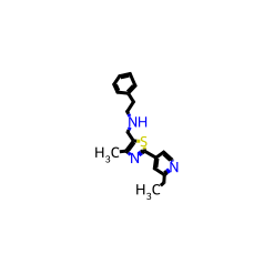 CCc1cc(-c2nc(C)c(CNCCc3ccccc3)s2)ccn1